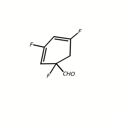 O=CC1(F)C=C(F)C=C(F)C1